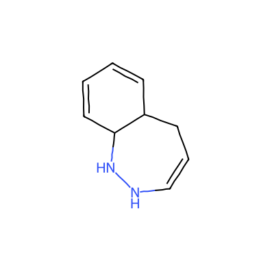 C1=CC2CC=CNNC2C=C1